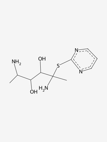 CC(N)C(O)C(O)C(C)(N)Sc1ncccn1